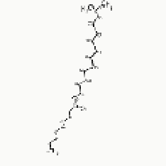 CCCCCCCCC(=O)OCCCCCCCCCCCC(C)C